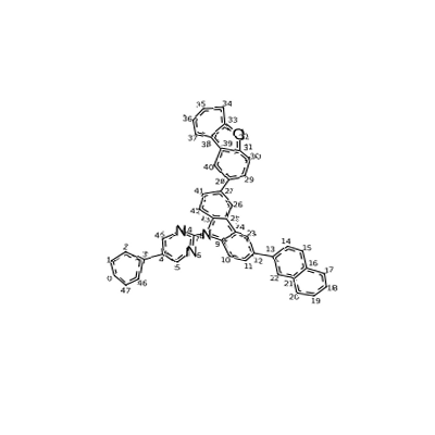 c1ccc(-c2cnc(-n3c4ccc(-c5ccc6ccccc6c5)cc4c4cc(-c5ccc6oc7ccccc7c6c5)ccc43)nc2)cc1